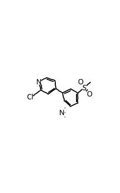 CS(=O)(=O)c1cccc(-c2ccnc(Cl)c2)c1.[N]